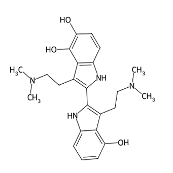 CN(C)CCc1c(-c2[nH]c3ccc(O)c(O)c3c2CCN(C)C)[nH]c2cccc(O)c12